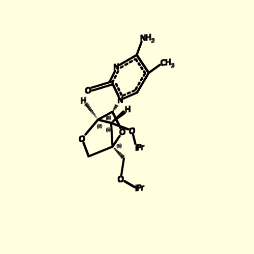 Cc1cn([C@@H]2O[C@@]3(COC(C)C)CO[C@@H]2[C@@H]3OC(C)C)c(=O)nc1N